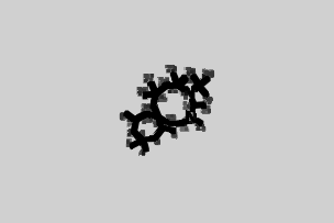 CC1CC(C)(C)CC(C)C2(CCN(C)C(C)N(C(C)(C)C)C(C)(C)CC(C)(C)C2)C1